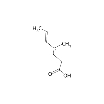 C/C=C/C(C)=C/CC(=O)O